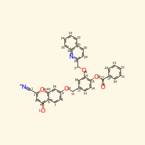 N#Cc1cc(=O)c2ccc(OCc3ccc(OC(=O)c4ccccc4)c(OCc4ccc5ccccc5n4)c3)cc2o1